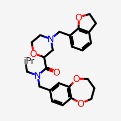 CC(C)CN(Cc1ccc2c(c1)OCCCO2)C(=O)C1CN(Cc2cccc3c2OCC3)CCO1